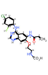 C=CC(=O)Nc1cc2c(Nc3ccc(Cl)cc3F)ncnc2cc1OCCNC(=O)O